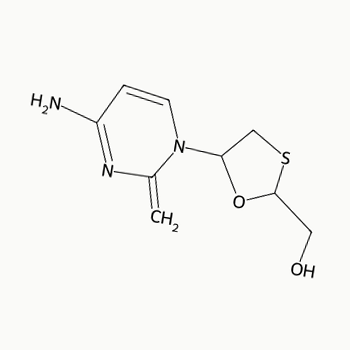 C=C1N=C(N)C=CN1C1CSC(CO)O1